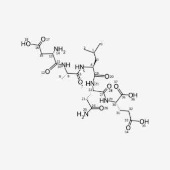 CC(C)C[C@H](NC(=O)[C@H](C)NC(=O)[C@@H](N)CC(=O)O)C(=O)N[C@@H](CC(N)=O)C(=O)N[C@@H](CCC(=O)O)C(=O)O